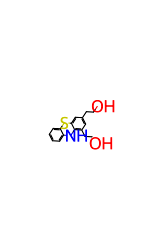 OCCc1cc(CCO)c2c(c1)Sc1ccccc1N2